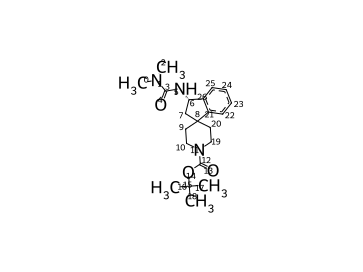 CN(C)C(=O)N[C@H]1CC2(CCN(C(=O)OC(C)(C)C)CC2)c2ccccc21